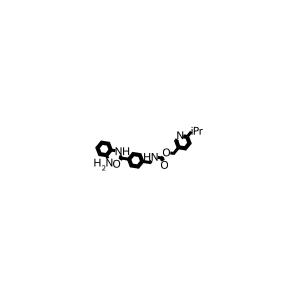 CC(C)c1ccc(COC(=O)NCc2ccc(C(=O)Nc3ccccc3N)cc2)cn1